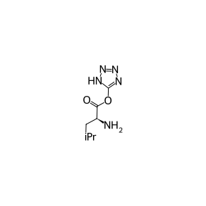 CC(C)C[C@H](N)C(=O)Oc1nnn[nH]1